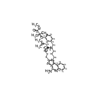 CCCCc1nc2c(N)nc3ccccc3c2n1CCCN(Cc1cccc(OC(C)(C)C(=O)OC)c1)C(=O)CN(C)C